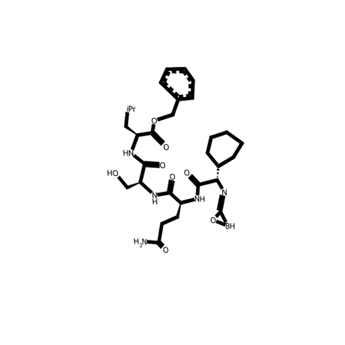 CC(C)C[C@H](NC(=O)[C@H](CO)NC(=O)[C@H](CCC(N)=O)NC(=O)[C@@H](/N=C1/BO1)C1CCCCC1)C(=O)OCc1ccccc1